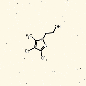 CCc1c(C(F)(F)F)nn(CCO)c1C(F)(F)F